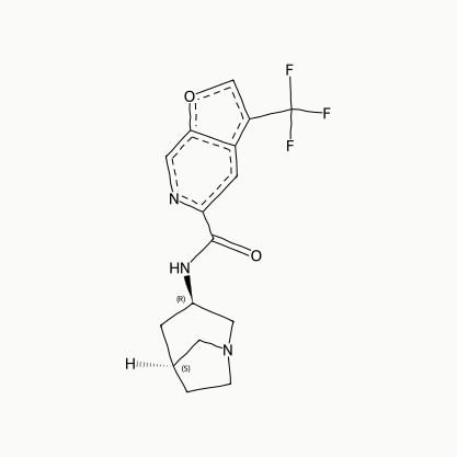 O=C(N[C@@H]1C[C@@H]2CCN(C2)C1)c1cc2c(C(F)(F)F)coc2cn1